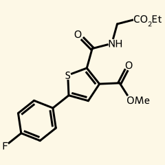 CCOC(=O)CNC(=O)c1sc(-c2ccc(F)cc2)cc1C(=O)OC